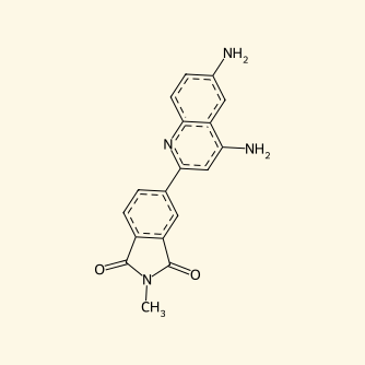 CN1C(=O)c2ccc(-c3cc(N)c4cc(N)ccc4n3)cc2C1=O